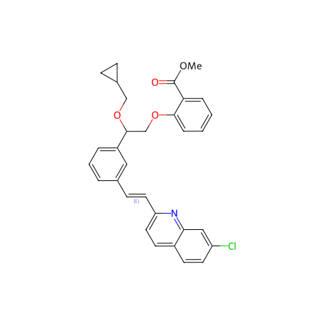 COC(=O)c1ccccc1OCC(OCC1CC1)c1cccc(/C=C/c2ccc3ccc(Cl)cc3n2)c1